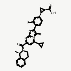 C[C@@H]1c2ccccc2CCN1C(=O)c1cc(C2CC2)n2c(F)c(-c3ccc([C@H]4C[C@H]4C(=O)O)cc3F)nc2n1